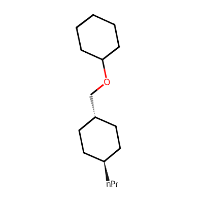 CCC[C@H]1CC[C@H](COC2CCCCC2)CC1